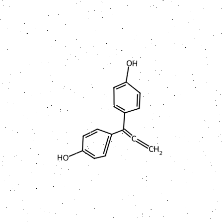 C=C=C(c1ccc(O)cc1)c1ccc(O)cc1